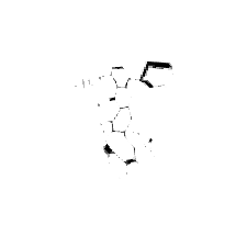 CC(=O)C1=C(O)[C@@H](N(C)C)[C@@H]2C[C@@H]3Cc4c(-c5ccoc5)ccc(O)c4C(=O)C3=C(O)[C@]2(O)C1=O